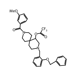 COc1cccc(C(=O)N2CCC3(CCN(Cc4ccccc4OCc4ccccc4)CC3OC(=O)C(F)(F)F)CC2)c1